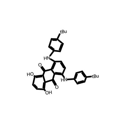 CC(C)(C)c1ccc(Nc2ccc(Nc3ccc(C(C)(C)C)cc3)c3c2C(=O)c2c(O)ccc(O)c2C3=O)cc1